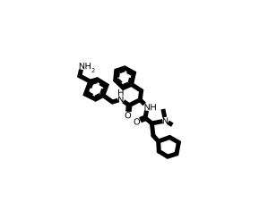 CN(C)C(CC1CCCCC1)C(=O)NC(Cc1ccccc1)C(=O)NCc1ccc(CN)cc1